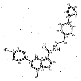 Cc1cc(-c2ccc(F)cc2)nc2c(C(=O)NCCc3ccc(-c4ccco4)cn3)ccn12